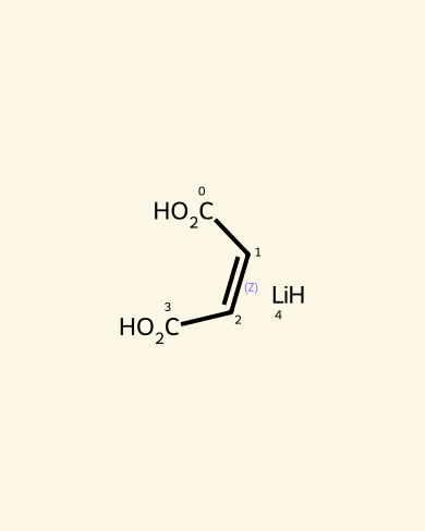 O=C(O)/C=C\C(=O)O.[LiH]